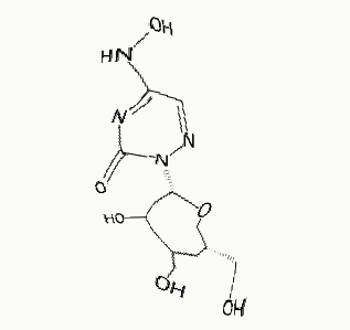 O=c1nc(NO)cnn1[C@@H]1O[C@H](CO)C(O)C1O